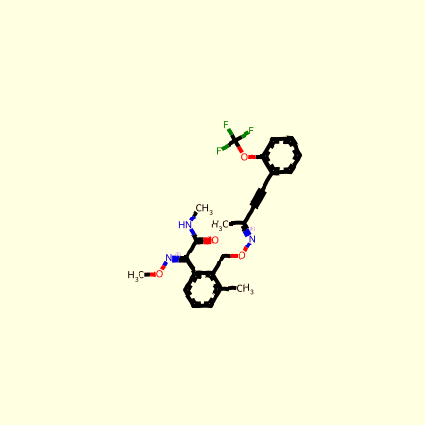 CNC(=O)/C(=N/OC)c1cccc(C)c1CO/N=C(\C)C#Cc1ccccc1OC(F)(F)F